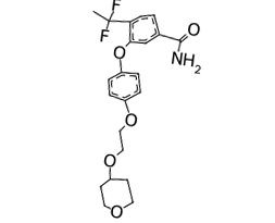 CC(F)(F)c1ccc(C(N)=O)cc1Oc1ccc(OCCOC2CCOCC2)cc1